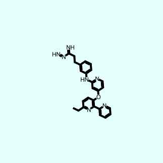 CCc1ccc(Oc2ccnc(Nc3cccc(CCC(=N)N=N)c3)c2)c(-c2ccccn2)n1